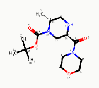 C[C@@H]1CN[C@@H](C(=O)N2CCOCC2)CN1C(=O)OC(C)(C)C